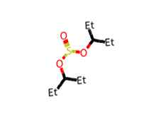 CCC(CC)OS(=O)OC(CC)CC